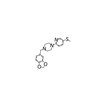 CSc1ccc(N2CCN(Cc3ccc4c(c3)OCO4)CC2)nc1